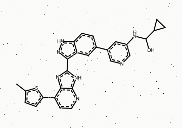 Cc1ccc(-c2ccnc3[nH]c(-c4n[nH]c5ccc(-c6cncc(NC(O)C7CC7)c6)cc45)nc23)s1